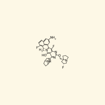 Cc1c(F)ccc2cc(N)cc(-c3nc(O)c4c(N5CC6CCC(C5)N6)nc(OC[C@@]56CCCN5C[C@H](F)C6)nc4c3F)c12